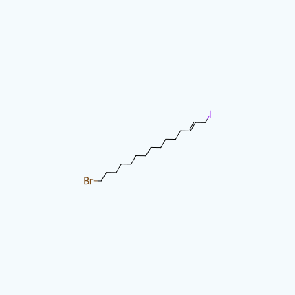 BrCCCCCCCCCCCCC=CCI